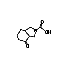 O=C1CCCC2CN(C(=O)O)CC12